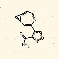 NC(=O)c1nocc1C1=CC2=CC2=CC=N1